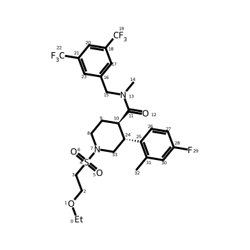 CCOCCS(=O)(=O)N1CC[C@@H](C(=O)N(C)Cc2cc(C(F)(F)F)cc(C(F)(F)F)c2)[C@H](c2ccc(F)cc2C)C1